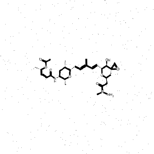 CC(=O)O[C@@H](C)/C=C\C(=O)N[C@@H]1C[C@H](C)[C@H](C/C=C(C)/C=C/[C@H]2O[C@H](CC(=O)N(C)N)C[C@@]3(CO3)[C@@H]2O)O[C@@H]1C